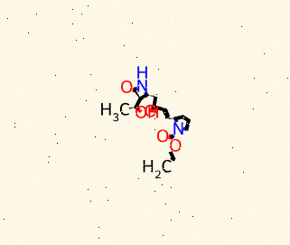 C=CCOC(=O)N1CCC[C@H]1C=CC(=O)C[C@H]1NC(=O)[C@@H]1[C@@H](C)O